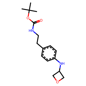 CC(C)(C)OC(=O)NCCc1ccc(NC2COC2)cc1